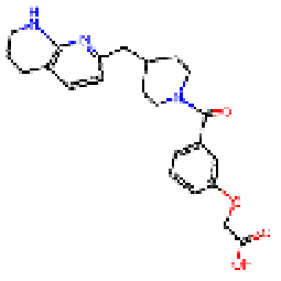 O=C(O)COc1cccc(C(=O)N2CCC(Cc3ccc4c(n3)NCCC4)CC2)c1